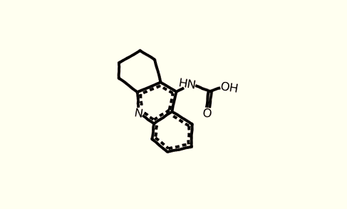 O=C(O)Nc1c2c(nc3ccccc13)CCCC2